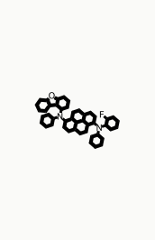 Fc1ccccc1N(c1ccccc1)c1ccc2ccc3c(N(c4ccccc4)c4cccc5oc6ccccc6c45)ccc4ccc1c2c43